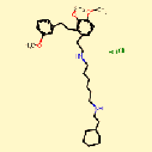 COc1cccc(CCc2c(CCNCCCCCCNCCC3CCCCC3)ccc(OC)c2OC)c1.Cl.Cl